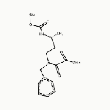 COC(=O)C(=O)N(CC[C@@H](C)NC(=O)OC(C)(C)C)Cc1ccccc1